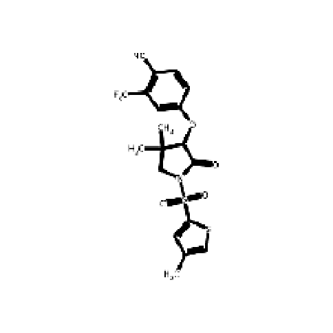 Cc1csc(S(=O)(=O)N2CC(C)(C)C(Oc3ccc(C#N)c(C(F)(F)F)c3)C2=O)c1